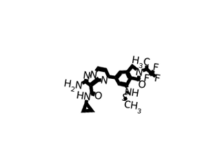 CSNc1cc(-c2ccn3nc(N)c(C(=O)NC4CC4)c3n2)cc2c1C(=O)N(C(C)C(F)(F)F)C2